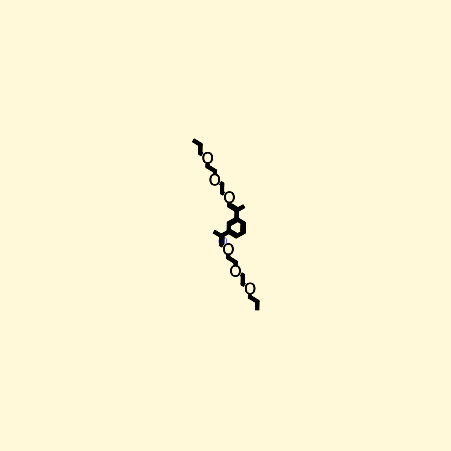 CCCOCCOCCOC=C(C)c1cccc(/C(C)=C\OCCOCCOCCC)c1